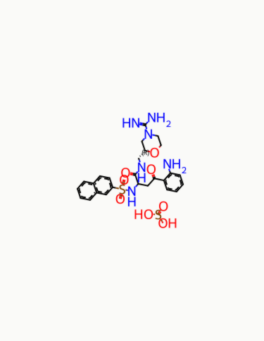 N=C(N)N1CCO[C@H](CNC(=O)C(CC(=O)c2ccccc2N)NS(=O)(=O)c2ccc3ccccc3c2)C1.O=S(O)O